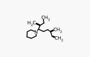 C=CC(=C)CCC(C(=C)CC)N1CCCCC1